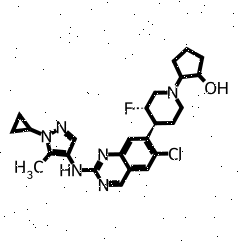 Cc1c(Nc2ncc3cc(Cl)c([C@@H]4CCN(C5CCCC5O)C[C@H]4F)cc3n2)cnn1C1CC1